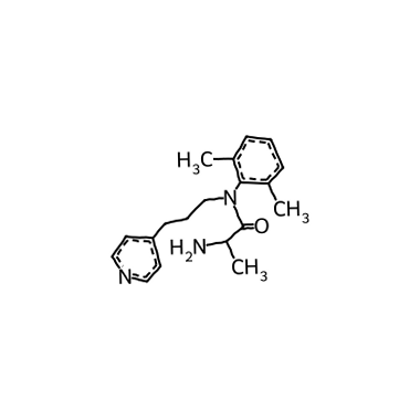 Cc1cccc(C)c1N(CCCc1ccncc1)C(=O)C(C)N